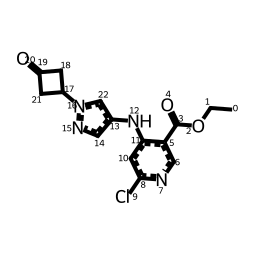 CCOC(=O)c1cnc(Cl)cc1Nc1cnn(C2CC(=O)C2)c1